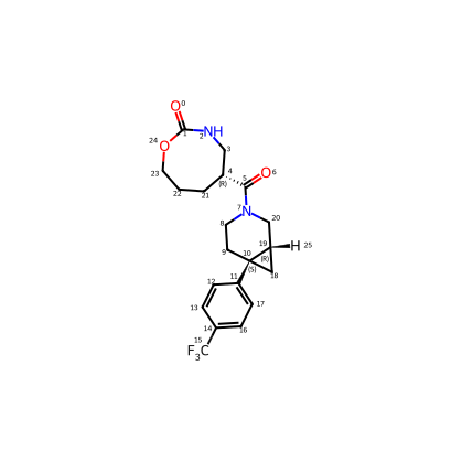 O=C1NC[C@H](C(=O)N2CC[C@@]3(c4ccc(C(F)(F)F)cc4)C[C@H]3C2)CCCO1